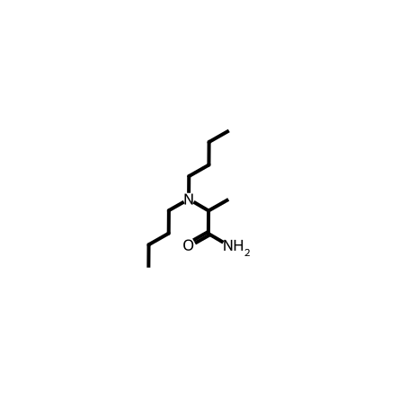 CCCCN(CCCC)C(C)C(N)=O